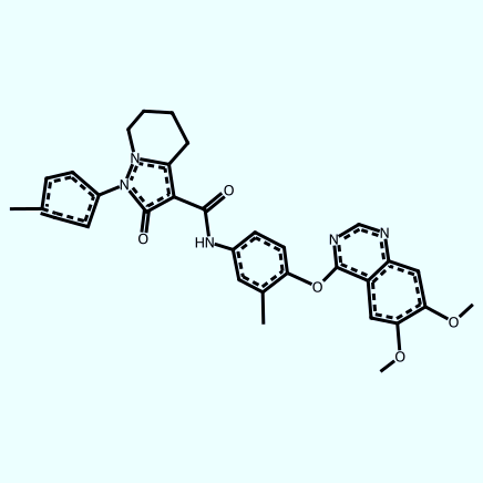 COc1cc2ncnc(Oc3ccc(NC(=O)c4c5n(n(-c6ccc(C)cc6)c4=O)CCCC5)cc3C)c2cc1OC